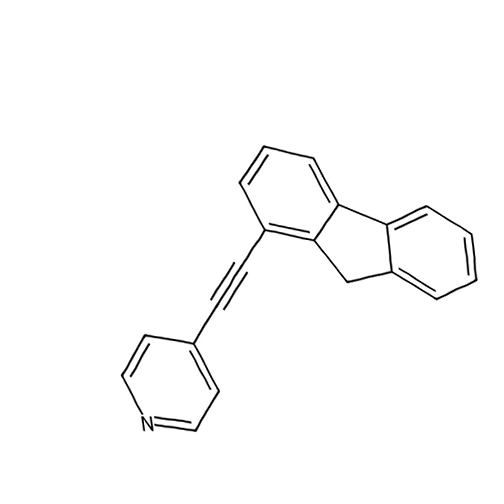 C(#Cc1cccc2c1Cc1ccccc1-2)c1ccncc1